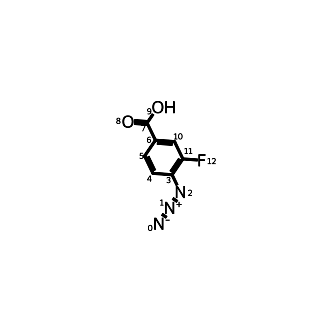 [N-]=[N+]=Nc1ccc(C(=O)O)cc1F